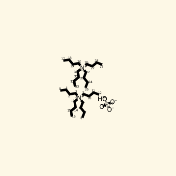 CCCC[N+](CCCC)(CCCC)CCCC.CCCC[N+](CCCC)(CCCC)CCCC.O=P([O-])([O-])O